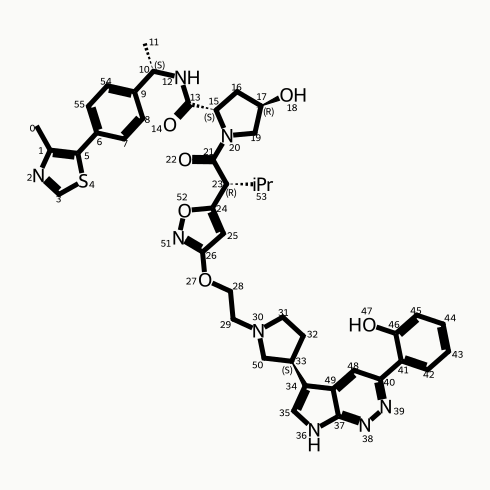 Cc1ncsc1-c1ccc([C@H](C)NC(=O)[C@@H]2C[C@@H](O)CN2C(=O)[C@@H](c2cc(OCCN3CC[C@@H](c4c[nH]c5nnc(-c6ccccc6O)cc45)C3)no2)C(C)C)cc1